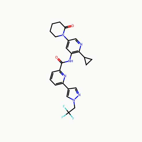 O=C(Nc1cc(N2CCCCC2=O)cnc1C1CC1)c1cccc(-c2cnn(CC(F)(F)F)c2)n1